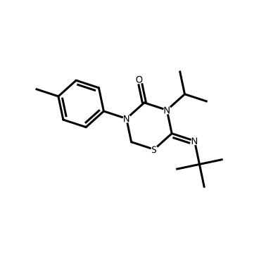 Cc1ccc(N2CS/C(=N\C(C)(C)C)N(C(C)C)C2=O)cc1